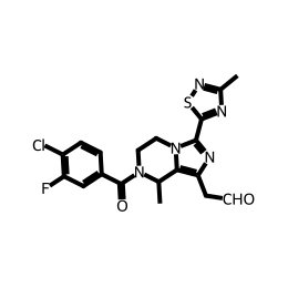 Cc1nsc(-c2nc(CC=O)c3n2CCN(C(=O)c2ccc(Cl)c(F)c2)C3C)n1